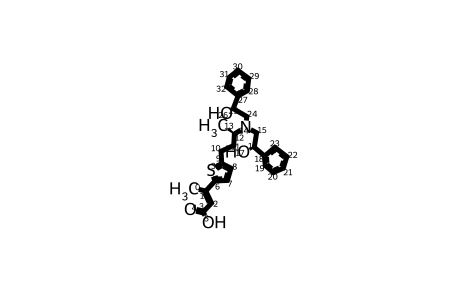 C/C(=C\C(=O)O)c1ccc(CC[C@@H](C)N(C[C@H](O)c2ccccc2)C[C@H](O)c2ccccc2)s1